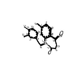 Cc1ccc2c(c1)N(Cc1ccc(C)c(C)c1)C(=O)CCC2=O